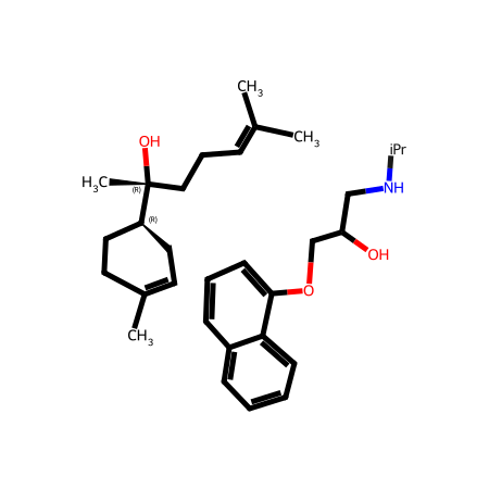 CC(C)=CCC[C@@](C)(O)[C@H]1CC=C(C)CC1.CC(C)NCC(O)COc1cccc2ccccc12